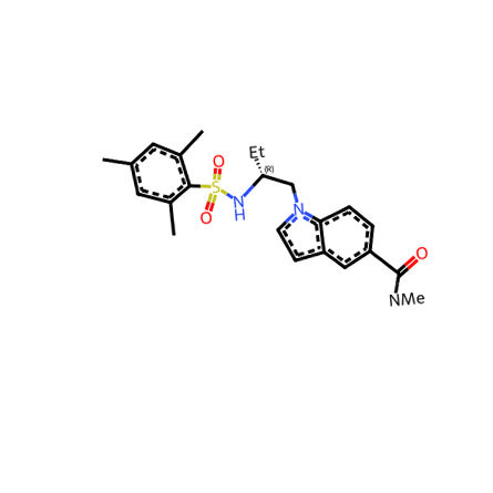 CC[C@H](Cn1ccc2cc(C(=O)NC)ccc21)NS(=O)(=O)c1c(C)cc(C)cc1C